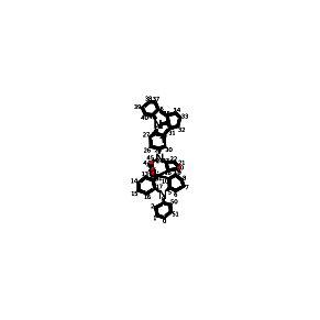 c1ccc(N2c3ccccc3[Si]3(c4ccccc42)c2ccccc2N(c2ccc4c(c2)c2cccc5c6ccccc6n4c52)c2ccccc23)cc1